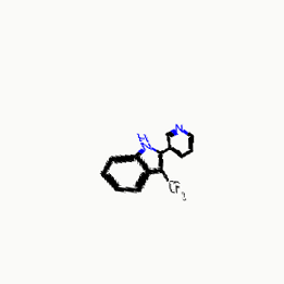 FC(F)(F)c1c(-c2cccnc2)[nH]c2ccccc12